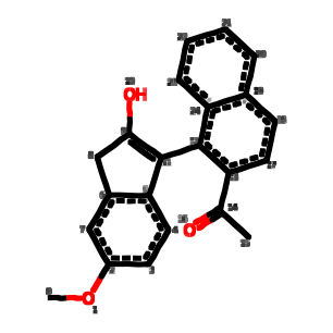 COc1ccc2c(c1)CC(O)=C2c1c(C(C)=O)ccc2ccccc12